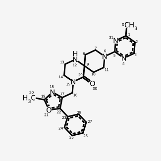 Cc1ccnc(N2CCC3(CC2)NCCN(Cc2nc(C)oc2-c2ccccc2)C3=O)n1